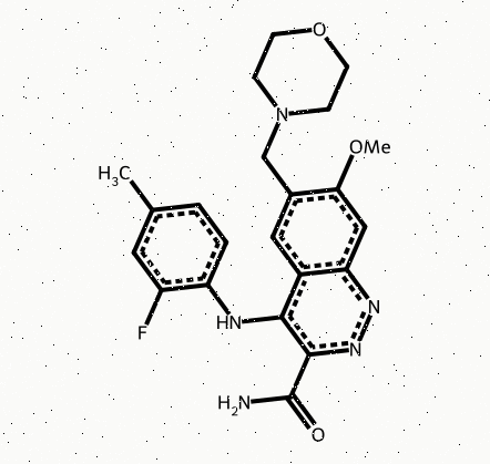 COc1cc2nnc(C(N)=O)c(Nc3ccc(C)cc3F)c2cc1CN1CCOCC1